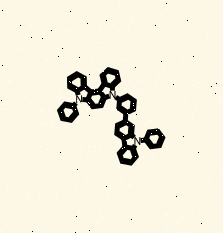 c1ccc(-n2c3ccccc3c3ccc(-c4cccc(-n5c6ccccc6c6c7c8ccccc8n(-c8ccccc8)c7ccc65)c4)cc32)cc1